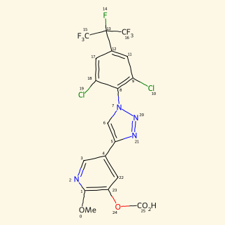 COc1ncc(-c2cn(-c3c(Cl)cc(C(F)(C(F)(F)F)C(F)(F)F)cc3Cl)nn2)cc1OC(=O)O